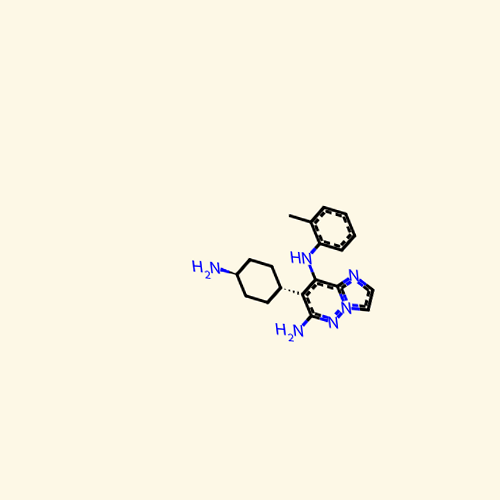 Cc1ccccc1Nc1c2nccn2nc(N)c1[C@H]1CC[C@H](N)CC1